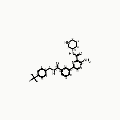 CC(C)(C)c1ccc(CNC(=O)c2cccc(-c3cnc(N)c(C(=O)N[C@H]4CCCNC4)n3)c2)cc1